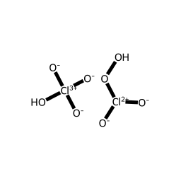 [O-][Cl+2]([O-])OO.[O-][Cl+3]([O-])([O-])O